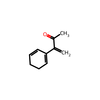 C=C(C(C)=O)C1=CCCC=C1